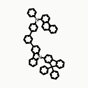 c1ccc(N(c2ccc(-c3cccc(-c4ccc5c(c4)c4ccccc4n5-c4ccc5c(c4)C(c4ccccc4)(c4ccccc4)c4ccccc4-5)c3)cc2)c2cccc3c2ccc2ccccc23)cc1